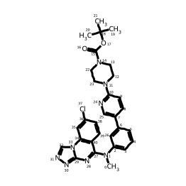 CN(c1cccc(-c2ccc(N3CCN(C(=O)OC(C)(C)C)CC3)nc2)c1)c1nc2nncn2c2cc(Cl)ccc12